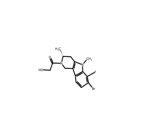 C[C@@H]1Cc2c(c3ccc(Br)c(F)c3n2C)CN1C(=O)CO